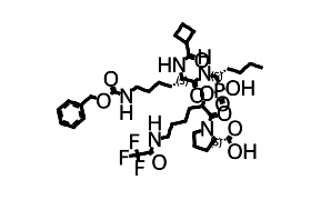 CCCC[C@@H](NC(=O)[C@H](CCCCNC(=O)OCc1ccccc1)NC(=O)C1CCC1)P(=O)(O)OC(CCCCNC(=O)C(F)(F)F)C(=O)N1CCC[C@H]1C(=O)O